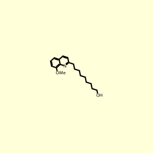 COc1cccc2ccc(CCCCCCCCCO)nc12